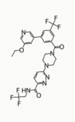 CCOc1cncc(-c2cc(C(=O)N3CCN(c4ccc(C(=O)NCC(F)(F)F)nn4)CC3)cc(C(F)(F)F)c2)c1